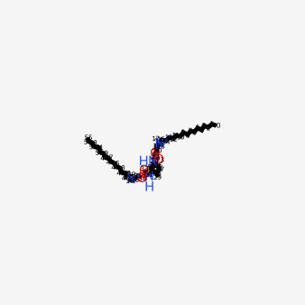 CCCCCCCCCCCCCCCC[N+](C)(C)CCOC(=O)Nc1ccc(C)c(NC(=O)OCC[N+](C)(C)CCCCCCCCCCCCCCCC)c1